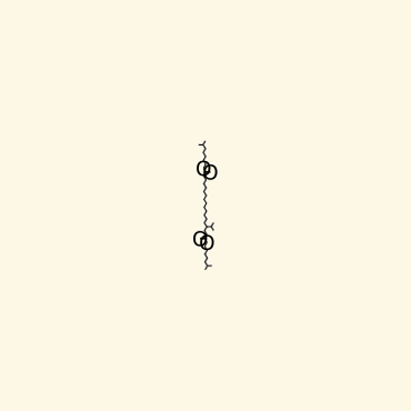 CC(C)CCCCCOC(=O)CCCCCCCCCCCCCC(CCC(=O)OCCCCCC(C)C)C(C)C